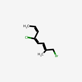 C\C=C/C(Cl)=C\C=C(/C)CBr